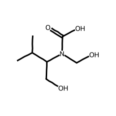 CC(C)C(CO)N(CO)C(=O)O